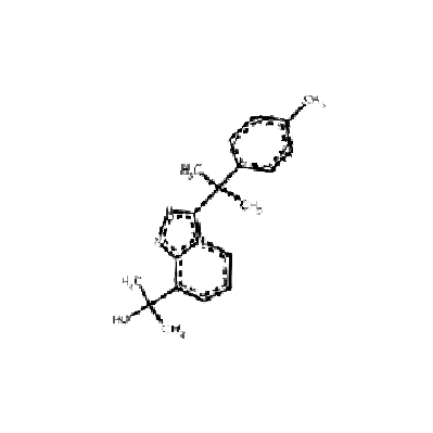 Cc1ccc(C(C)(C)c2nnc3c(C(C)(C)O)cccn23)cc1